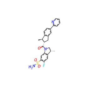 C[C@H]1CN(C(=O)[C@H]2Cc3cc(-c4ccccn4)ccc3[C@@H]2C)c2cc(S(N)(=O)=O)c(F)cc21